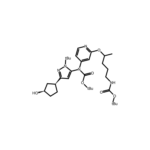 CC(CCCNC(=O)OC(C)(C)C)Oc1cc(N(C(=O)OC(C)(C)C)c2cc([C@H]3CC[C@@H](O)C3)nn2C(C)(C)C)ccn1